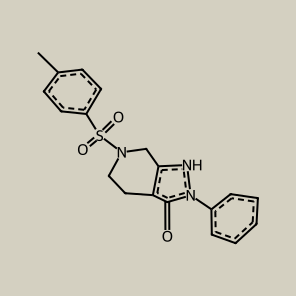 Cc1ccc(S(=O)(=O)N2CCc3c([nH]n(-c4ccccc4)c3=O)C2)cc1